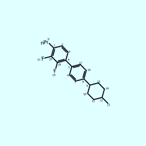 CCCc1ccc(-c2ccc(C3CCC(C)CC3)cc2)c(F)c1F